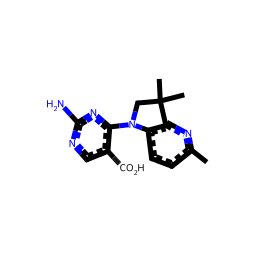 Cc1ccc2c(n1)C(C)(C)CN2c1nc(N)ncc1C(=O)O